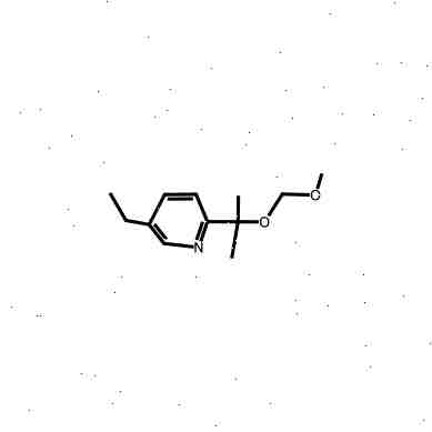 CCc1ccc(C(C)(C)OCOC)nc1